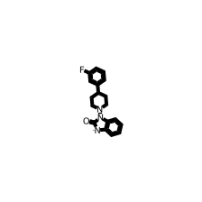 O=C1[N]c2ccccc2N1N1CCC(c2cccc(F)c2)CC1